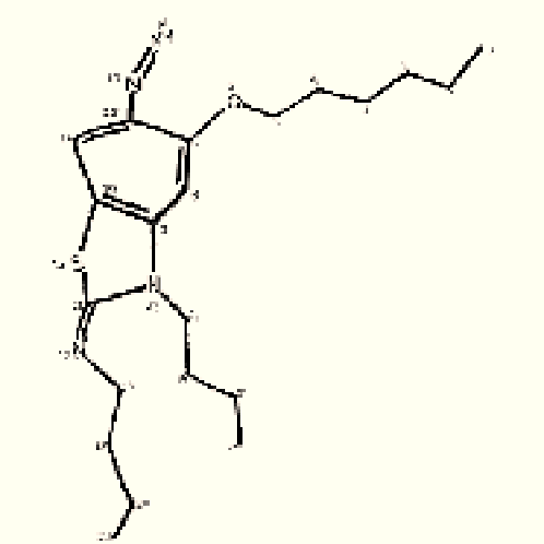 CCCCCCOc1cc2c(cc1N=N)s/c(=N/CCCC)n2CCCC